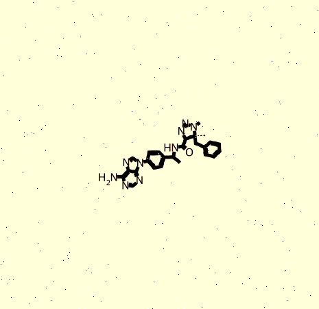 CC(NC(=O)C1N=NN(C)[C@@]1(C)Cc1ccccc1)c1ccc(-n2cnc3c(N)ncnc32)cc1